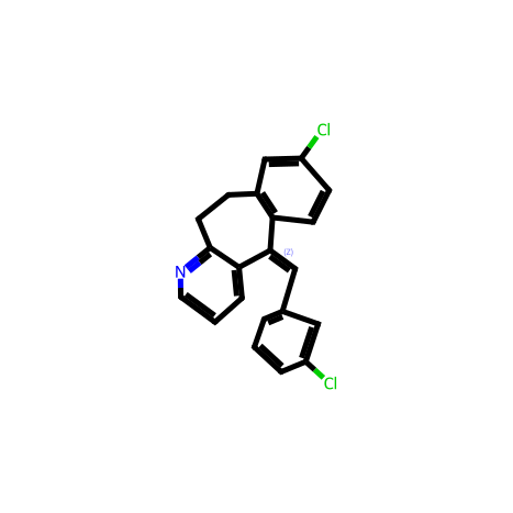 Clc1cccc(/C=C2/c3ccc(Cl)cc3CCc3ncccc32)c1